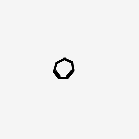 [C]1CC=CC=CC1